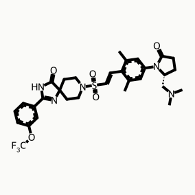 Cc1cc(N2C(=O)CC[C@@H]2CN(C)C)cc(C)c1/C=C/S(=O)(=O)N1CCC2(CC1)N=C(c1cccc(OC(F)(F)F)c1)NC2=O